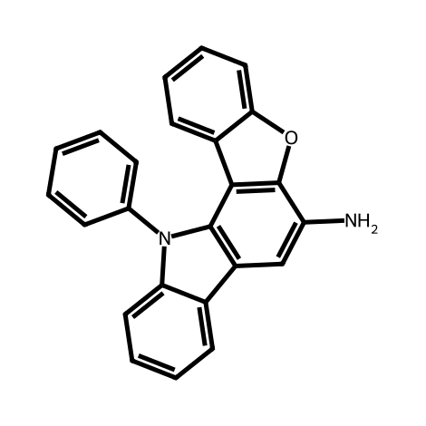 Nc1cc2c3ccccc3n(-c3ccccc3)c2c2c1oc1ccccc12